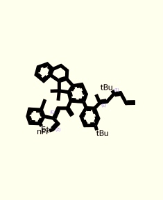 C=C/C=C(\C=C(/C)c1cc(C(C)(C)C)ccc1-c1ccc2c(c1C(=C)/C=C(\C=C/CCC)c1c(C)cccc1CC)C(C)(C)C1=C2CCc2ccccc21)C(C)(C)C